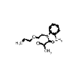 C=CCOCCN(C(=O)C(C)Cl)c1ccccc1C